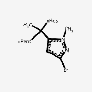 CCCCCCC(C)(CCCCC)c1cc(Br)nn1C